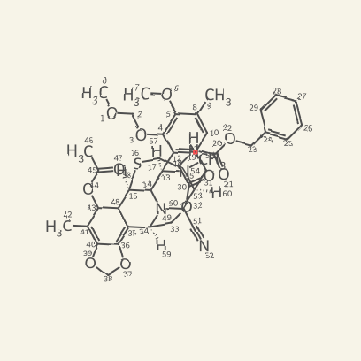 COCOc1c(OC)c(C)cc2c1[C@@H]1C3[C@@H]4SCC(NC(=O)OCc5ccccc5)C(=O)OC[C@@H](C5=C6OCOC6=C(C)C(OC(C)=O)C54)N3C(C#N)[C@H](C2)N1C